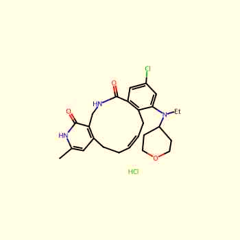 CCN(c1cc(Cl)cc2c1CC=CCCc1cc(C)[nH]c(=O)c1CNC2=O)C1CCOCC1.Cl